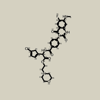 CNc1cc2[nH]c(=O)n(-c3ccc(C(=O)NC(C(=O)OCCN4CCOCC4)C4=CC=C(Cl)C4)cc3)c(=O)c2cc1F